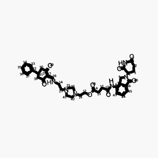 O=C1CCC(N2Cc3c(NC(=O)CCC(=O)OCCN4CCN(CCNC=C5C(=O)CC(c6ccccc6)CC5=O)CC4)cccc3C2=O)C(=O)N1